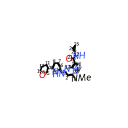 CNc1cc(Nc2cccc([C@H]3CCCOC3)n2)nc2c(C(=O)NC3CC3)cnn12